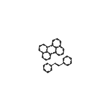 C(=Cc1ccccc1)c1ccccc1.c1cc2cccc3c4cccc5cccc(c(c1)c23)c54